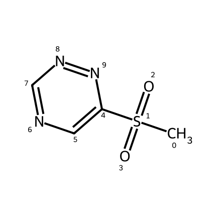 CS(=O)(=O)c1cncnn1